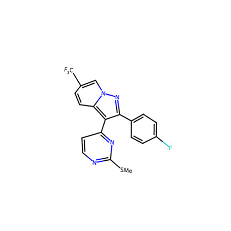 CSc1nccc(-c2c(-c3ccc(F)cc3)nn3cc(C(F)(F)F)ccc23)n1